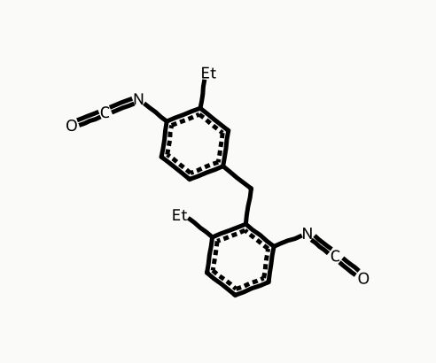 CCc1cc(Cc2c(CC)cccc2N=C=O)ccc1N=C=O